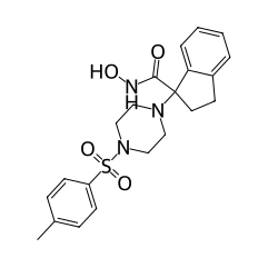 Cc1ccc(S(=O)(=O)N2CCN(C3(C(=O)NO)CCc4ccccc43)CC2)cc1